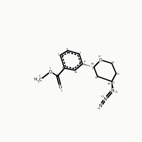 COC(=O)c1cccc([C@H]2C[C@H](N=[N+]=[N-])CCO2)c1